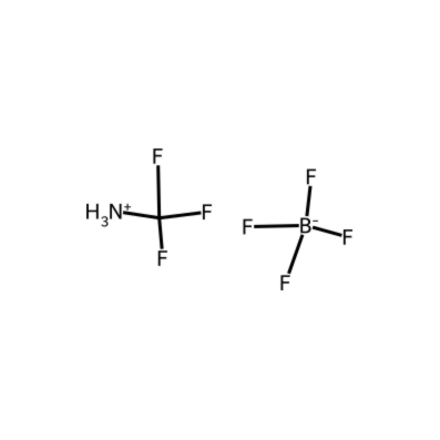 F[B-](F)(F)F.[NH3+]C(F)(F)F